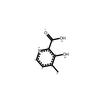 Cc1ccnc(C(=O)O)c1O